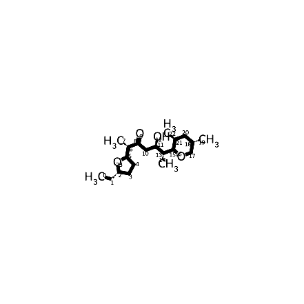 CC[C@H]1CCC([C@H](C)C(=O)C[C@@H](O)[C@@H](C)C2OC[C@@H](C)C[C@@H]2C)O1